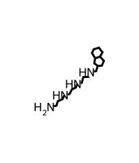 NCCCNCCCNCCCNCC1CCC2CCCCC2C1